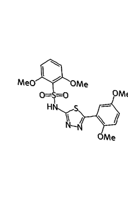 COc1ccc(OC)c(-c2nnc(NS(=O)(=O)c3c(OC)cccc3OC)s2)c1